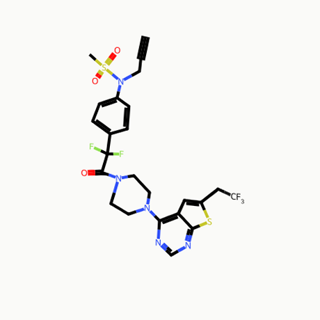 C#CCN(c1ccc(C(F)(F)C(=O)N2CCN(c3ncnc4sc(CC(F)(F)F)cc34)CC2)cc1)S(C)(=O)=O